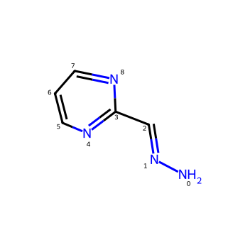 NN=Cc1ncccn1